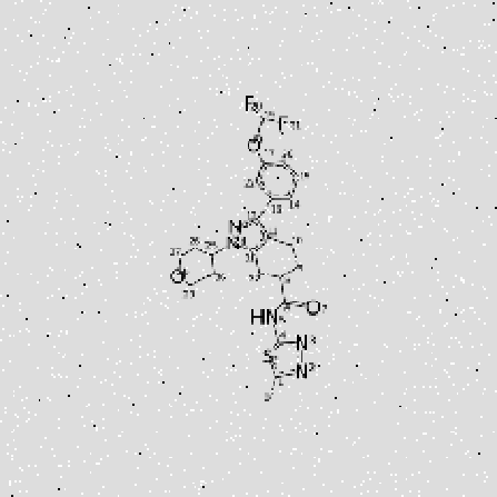 Cc1nnc(NC(=O)C2CCc3c(-c4cccc(OC(F)F)c4)nn(C4CCOCC4)c3C2)s1